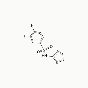 O=S(=O)(Nc1nccs1)c1ccc(F)c(F)c1